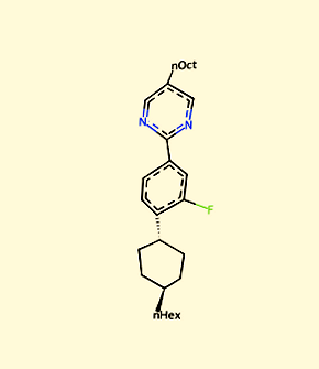 CCCCCCCCc1cnc(-c2ccc([C@H]3CC[C@H](CCCCCC)CC3)c(F)c2)nc1